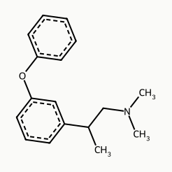 CC(CN(C)C)c1cccc(Oc2ccccc2)c1